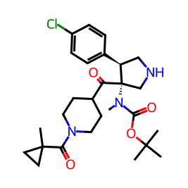 CN(C(=O)OC(C)(C)C)[C@@]1(C(=O)C2CCN(C(=O)C3(C)CC3)CC2)CNC[C@@H]1c1ccc(Cl)cc1